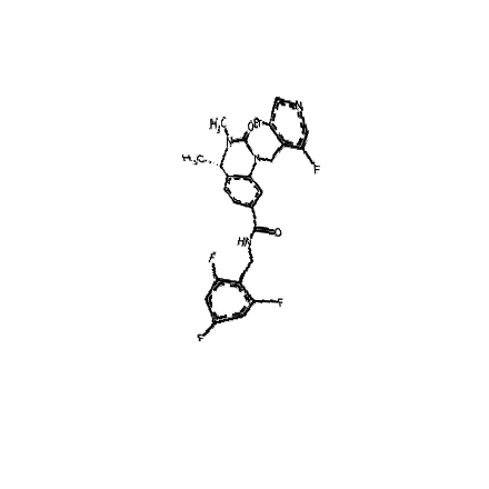 C[C@H]1c2ccc(C(=O)NCc3c(F)cc(F)cc3F)cc2N(Cc2c(F)cncc2Br)C(=O)N1C